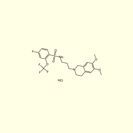 COc1cc2c(cc1OC)CN(CCCNS(=O)(=O)c1ccc(F)cc1OC(F)(F)F)CC2.Cl